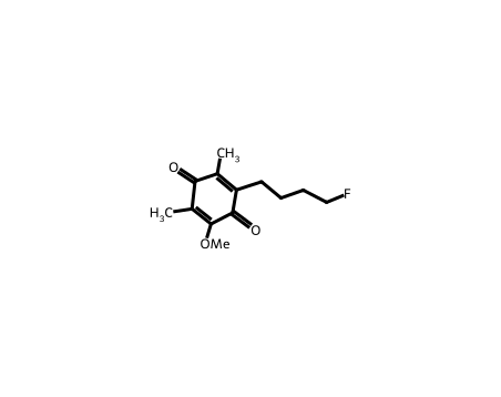 COC1=C(C)C(=O)C(C)=C(CCCCF)C1=O